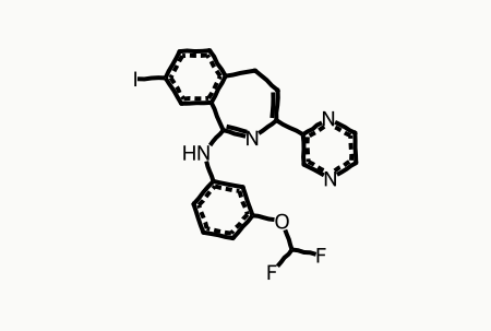 FC(F)Oc1cccc(NC2=NC(c3cnccn3)=CCc3ccc(I)cc32)c1